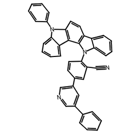 N#Cc1cc(-c2cncc(-c3ccccc3)c2)ccc1-n1c2ccccc2c2ccc3c(c4ccccc4n3-c3ccccc3)c21